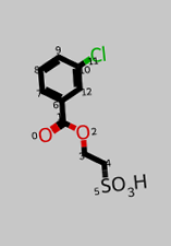 O=C(OCCS(=O)(=O)O)c1cccc(Cl)c1